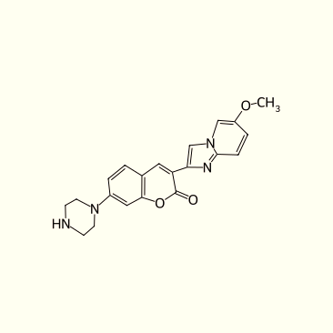 COc1ccc2nc(-c3cc4ccc(N5CCNCC5)cc4oc3=O)cn2c1